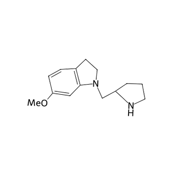 COc1ccc2c(c1)N(CC1CCCN1)CC2